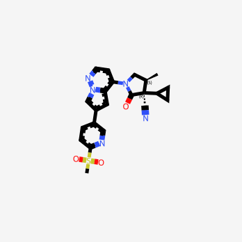 C[C@@H]1CN(c2ccnn3cc(-c4ccc(S(C)(=O)=O)nc4)cc23)C(=O)[C@]1(C#N)C1CC1